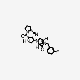 N#C[C@@H]1CCCN1C(=O)[C@@H]1C[C@H](N2C[C@@H]3C[C@H]2C(=O)N3Cc2cccc(F)c2)CN1